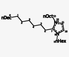 CCCCCCCCCCCCCCCCc1n(CCCCCC)cc[n+]1CCCCCCCC